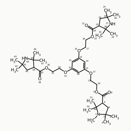 CN1C(C)(C)CC(C(=O)OCCOc2cc(OCCOC(=O)C3CC(C)(C)NC3(C)C)cc(OCCOC(=O)C3CC(C)(C)NC3(C)C)c2)C1(C)C